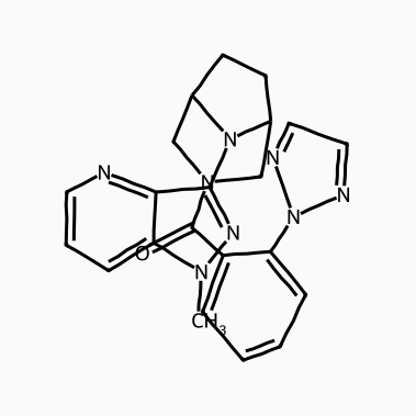 Cn1nc(N2C3CCC2CN(C(=O)c2ccccc2-n2nccn2)C3)c2ncccc21